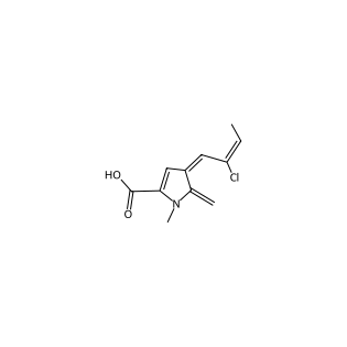 C=c1/c(=C\C(Cl)=C/C)cc(C(=O)O)n1C